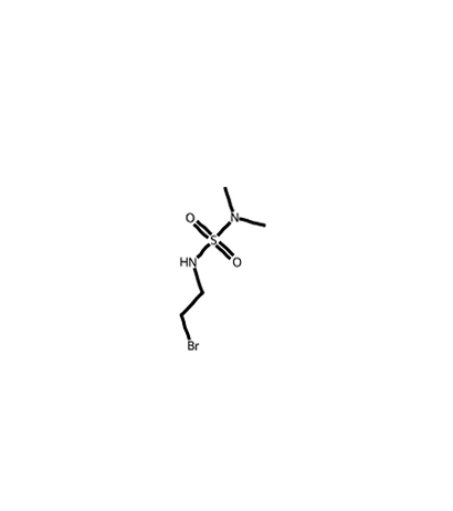 CN(C)S(=O)(=O)NCCBr